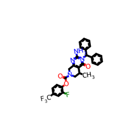 CC1CN(C(=O)Oc2ccc(C(F)(F)F)cc2F)Cc2nc(N)n(C(c3ccccc3)c3ccccc3)c(=O)c21